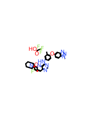 C=C(F)C(=O)N1C2C=C(c3ccc4ncnc(Nc5ccc(Oc6ccc7c(c6)nnn7C)c(C)c5)c4n3)CC1CCC2.O=C(O)C(F)(F)F